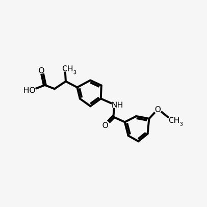 COc1cccc(C(=O)Nc2ccc(C(C)CC(=O)O)cc2)c1